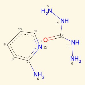 NNC(=O)NN.Nc1ccccn1